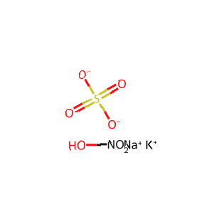 O=S(=O)([O-])[O-].O=[N+]([O-])O.[K+].[Na+]